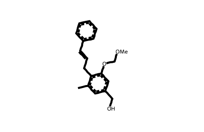 COCOc1cc(CO)cc(C)c1C/C=C/c1ccccc1